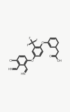 N=Cc1c(Cl)ccc(Oc2ccc(OC3=CC(CC(=O)O)CC=C3)c(C(F)(F)F)c2)c1C=N